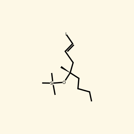 CCCC[C@@](C)(C/C=C/I)O[Si](C)(C)C